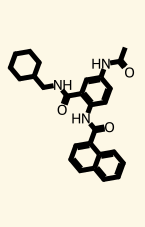 CC(=O)Nc1ccc(NC(=O)c2cccc3ccccc23)c(C(=O)NCC2CCCCC2)c1